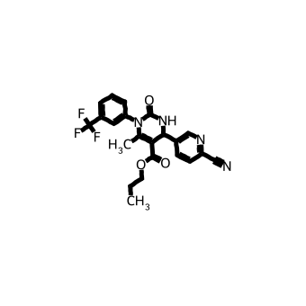 CCCOC(=O)C1=C(C)N(c2cccc(C(F)(F)F)c2)C(=O)NC1c1ccc(C#N)nc1